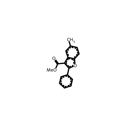 COC(=O)c1c(-c2ccccc2)oc2ccc(C)cc12